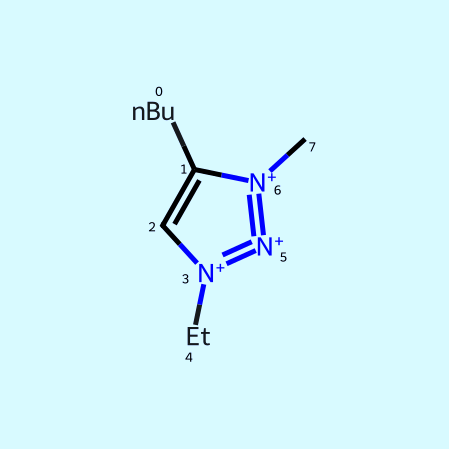 CCCCC1=C[N+](CC)=[N+]=[N+]1C